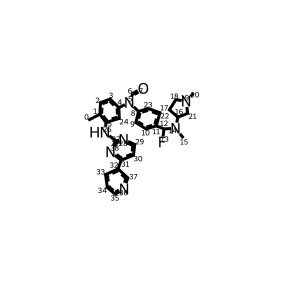 Cc1ccc(N(C=O)c2ccc(C(F)N(C)C3CCN(C)C3)cc2)cc1Nc1nccc(-c2cccnc2)n1